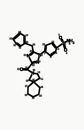 NS(=O)(=O)c1ccc(-n2nc(C(=O)N3CCC4(CCCCC4)C3)nc2Cc2ccccc2)cc1